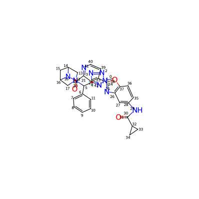 Cn1nnc(C(c2ccccc2)N2CC3CC(C2)N3C(=O)c2cc(-c3nc4cc(NC(=O)C5CC5)ccc4o3)ccn2)n1